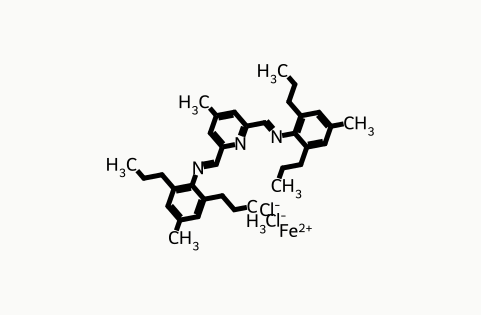 CCCc1cc(C)cc(CCC)c1N=Cc1cc(C)cc(C=Nc2c(CCC)cc(C)cc2CCC)n1.[Cl-].[Cl-].[Fe+2]